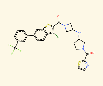 O=C(c1nccs1)N1CC[C@H](NC2CN(C(=O)c3sc4cc(-c5cccc(C(F)(F)F)c5)ccc4c3Cl)C2)C1